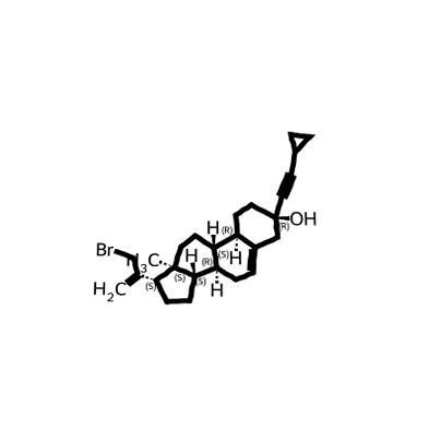 C=C(CBr)[C@H]1CC[C@H]2[C@@H]3CC=C4C[C@@](O)(C#CC5CC5)CC[C@@H]4[C@H]3CC[C@]12C